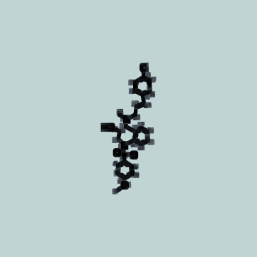 COc1ccc(S(=O)(=O)N(CCO)c2ccccc2CN(C)CC=Cc2ccc(Cl)cc2)cc1